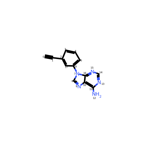 C#Cc1cccc(-n2cnc3c(N)ncnc32)c1